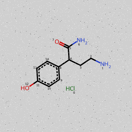 Cl.NCCC(C(N)=O)c1ccc(O)cc1